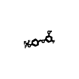 COc1cc(F)cc(OCc2ccc(OC(F)(F)F)cc2)c1